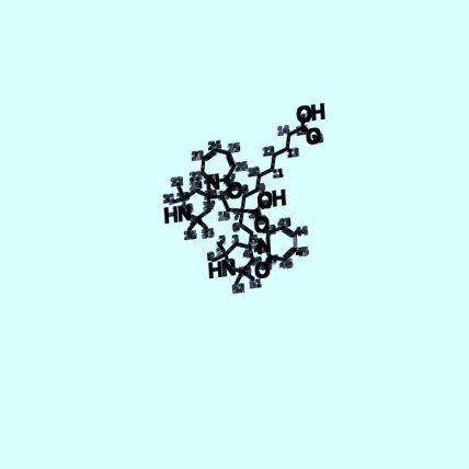 CC1(C)CC(CCC(CCCCCCCC(=O)O)(CCC2(N3CC=CC=CC3=O)CC(C)(C)NC(C)(C)C2)C(=O)O)(N2CC=CC=CC2=O)CC(C)(C)N1